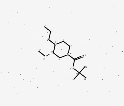 CCCN1CCN(C(=O)OC(C)(C)C)C[C@@H]1CC